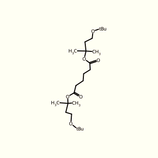 CC(C)(C)OCCC(C)(C)OC(=O)CCCCC(=O)OC(C)(C)CCOC(C)(C)C